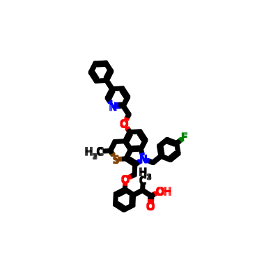 CC1Cc2c(OCc3ccc(-c4ccccc4)cn3)ccc3c2c(c(COc2ccccc2C(C)C(=O)O)n3Cc2ccc(F)cc2)S1